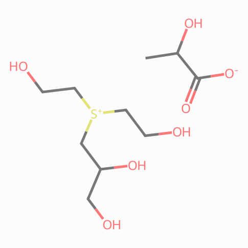 CC(O)C(=O)[O-].OCC[S+](CCO)CC(O)CO